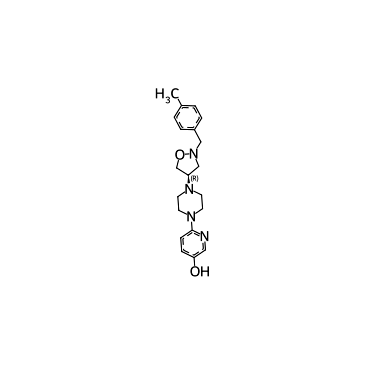 Cc1ccc(CN2C[C@@H](N3CCN(c4ccc(O)cn4)CC3)CO2)cc1